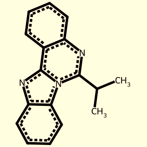 CC(C)c1nc2ccccc2c2nc3ccccc3n12